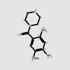 COc1cc(C(=O)N2CCOCC2)c([N+](=O)[O-])cc1N